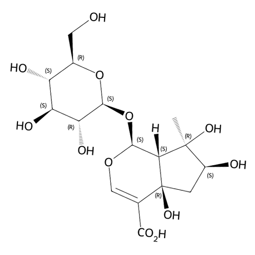 C[C@@]1(O)[C@H]2[C@H](O[C@@H]3O[C@H](CO)[C@@H](O)[C@H](O)[C@H]3O)OC=C(C(=O)O)[C@@]2(O)C[C@@H]1O